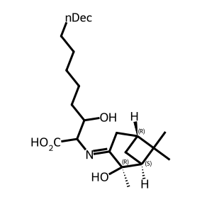 CCCCCCCCCCCCCCCC(O)C(N=C1C[C@H]2C[C@@H](C2(C)C)[C@@]1(C)O)C(=O)O